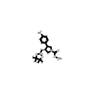 CC(C)(C)OC(=O)N1CC(c2ccc(C#N)cc2)[C@H](CB2OC(C)(C)C(C)(C)O2)C1